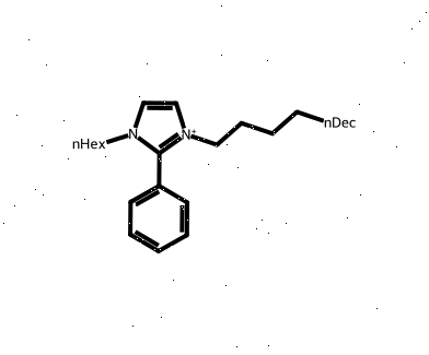 CCCCCCCCCCCCCC[n+]1ccn(CCCCCC)c1-c1ccccc1